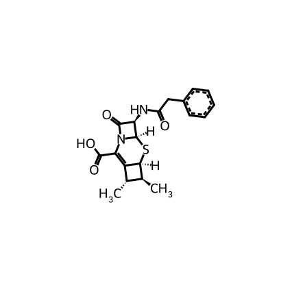 C[C@H]1[C@H](C)C2=C(C(=O)O)N3C(=O)[C@@H](NC(=O)Cc4ccccc4)[C@H]3S[C@H]21